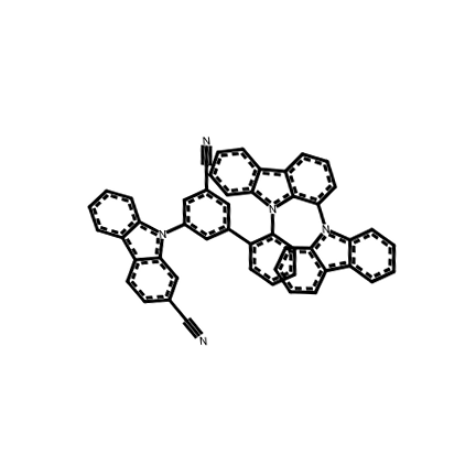 N#Cc1cc(-c2ccccc2-n2c3ccccc3c3cccc(-n4c5ccccc5c5ccccc54)c32)cc(-n2c3ccccc3c3ccc(C#N)cc32)c1